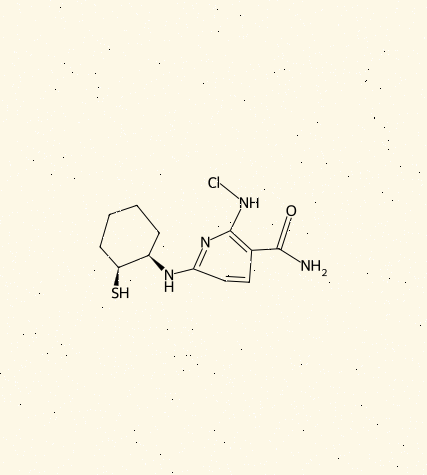 NC(=O)c1ccc(N[C@@H]2CCCC[C@@H]2S)nc1NCl